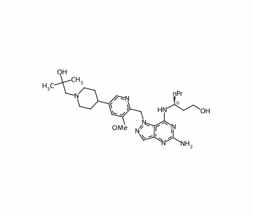 CCC[C@@H](CCO)Nc1nc(N)nc2cnn(Cc3ncc(C4CCN(CC(C)(C)O)CC4)cc3OC)c12